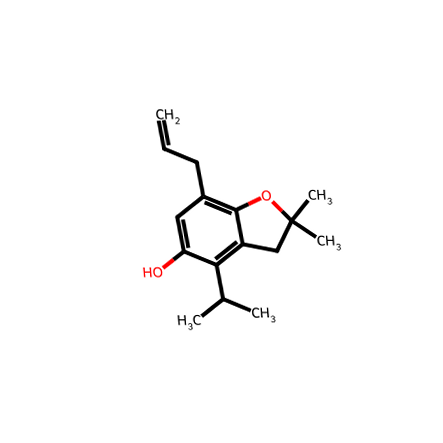 C=CCc1cc(O)c(C(C)C)c2c1OC(C)(C)C2